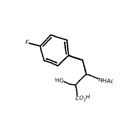 CC(=O)NC(Cc1ccc(F)cc1)C(O)C(=O)O